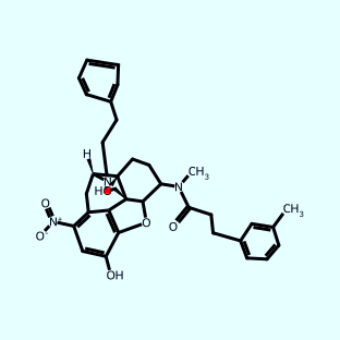 Cc1cccc(CCC(=O)N(C)C2CC[C@@]3(O)[C@H]4Cc5c([N+](=O)[O-])cc(O)c6c5[C@@]3(CCN4CCc3ccccc3)C2O6)c1